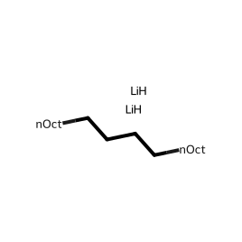 CCCCCCCCCCCCCCCCCCCC.[LiH].[LiH]